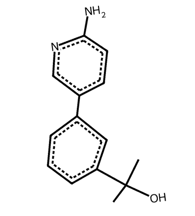 CC(C)(O)c1cccc(-c2ccc(N)nc2)c1